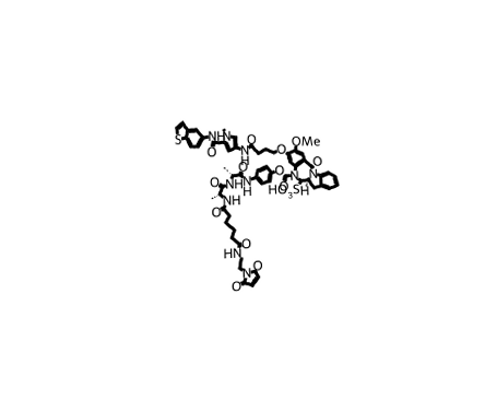 COc1cc2c(cc1OCCCC(=O)Nc1cc(C(=O)Nc3ccc4sccc4c3)n(C)c1)N(C(=O)Oc1ccc(NC(=O)[C@@H](C)NC(=O)[C@@H](C)NC(=O)CCCCC(=O)NCCN3C(=O)C=CC3=O)cc1)C(S(=O)(=O)O)[C@@H]1Cc3ccccc3N1C2=O